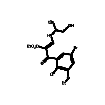 CCOC(=O)C(=CNC(CO)C(C)(C)C)C(=O)c1cc(Br)cc(OCC)c1Cl